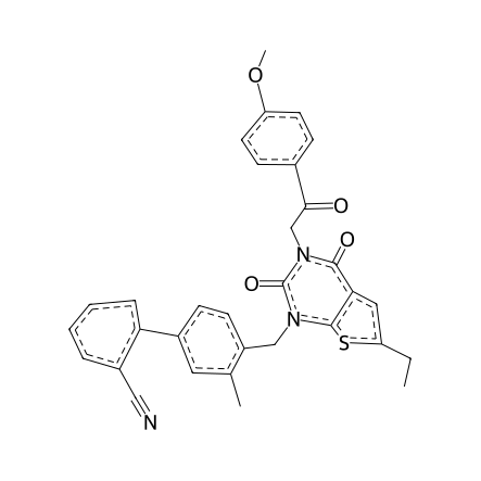 CCc1cc2c(=O)n(CC(=O)c3ccc(OC)cc3)c(=O)n(Cc3ccc(-c4ccccc4C#N)cc3C)c2s1